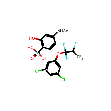 CC(=O)Nc1ccc([As](=O)(O)O)c(O)c1.FC(C(F)(F)F)C(F)(F)Oc1cc(Cl)cc(Cl)c1